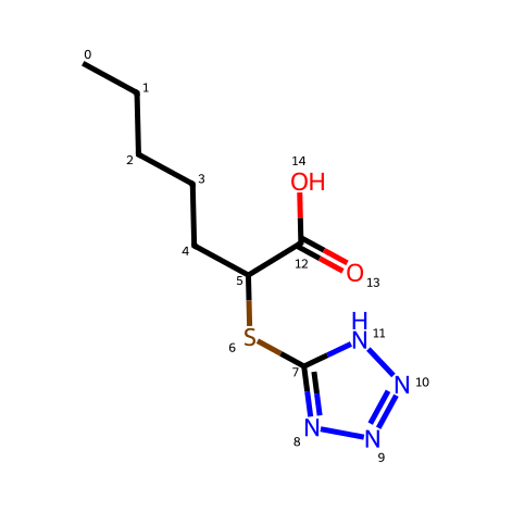 CCCCCC(Sc1nnn[nH]1)C(=O)O